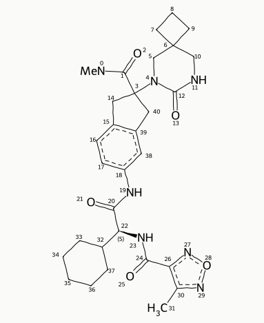 CNC(=O)C1(N2CC3(CCC3)CNC2=O)Cc2ccc(NC(=O)[C@@H](NC(=O)c3nonc3C)C3CCCCC3)cc2C1